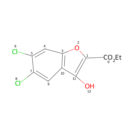 CCOC(=O)c1oc2cc(Cl)c(Cl)cc2c1O